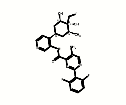 C[C@H]1C[C@@H](c2ccncc2NC(=O)c2nc(-c3c(F)cccc3F)ncc2N)C[C@@H](O)[C@@]1(O)CF